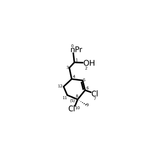 CCCC(O)CC1C=C(Cl)[C@@](C)(Cl)CC1